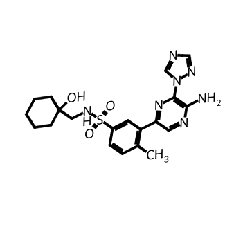 Cc1ccc(S(=O)(=O)NCC2(O)CCCCC2)cc1-c1cnc(N)c(-n2cncn2)n1